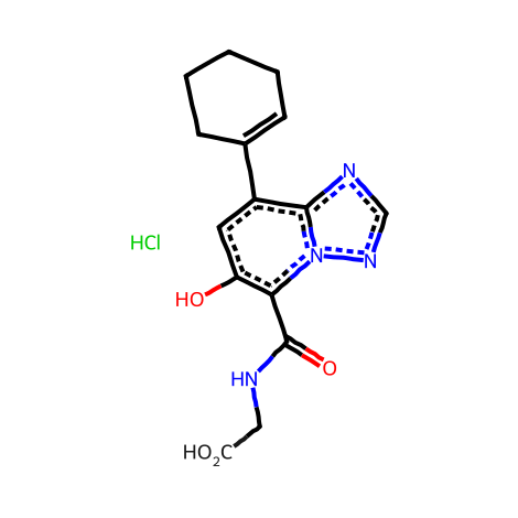 Cl.O=C(O)CNC(=O)c1c(O)cc(C2=CCCCC2)c2ncnn12